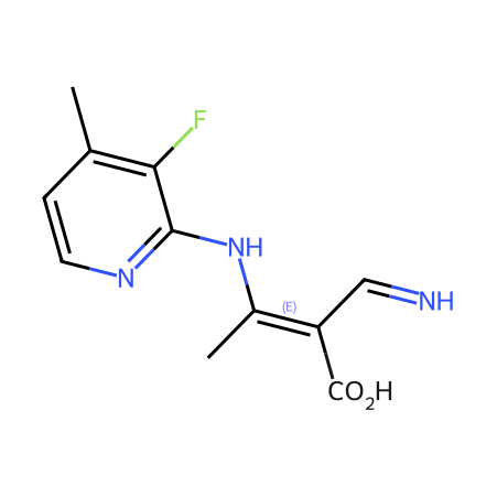 C/C(Nc1nccc(C)c1F)=C(/C=N)C(=O)O